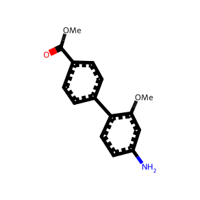 COC(=O)c1ccc(-c2ccc(N)cc2OC)cc1